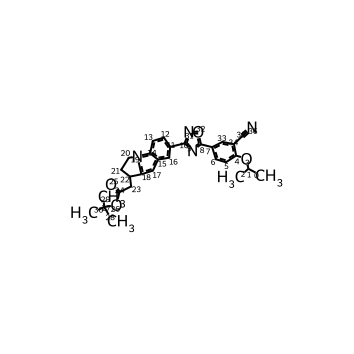 CC(C)Oc1ccc(-c2nc(-c3ccc4c(c3)cc3n4CCC3CC(=O)OC(C)(C)C)no2)cc1C#N